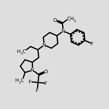 CCC(CC1CCC(C)N1C(=O)C(F)(F)F)N1CCC(N(C(C)=O)c2ccc(F)cc2)CC1